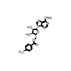 COc1ncnc2c1ncn2[C@@H]1O[C@H](COC(=O)c2ccc(C)cc2)[C@@H](O)[C@@H]1O